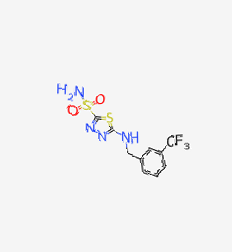 NS(=O)(=O)c1nnc(NCc2cccc(C(F)(F)F)c2)s1